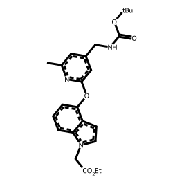 CCOC(=O)Cn1ccc2c(Oc3cc(CNC(=O)OC(C)(C)C)cc(C)n3)cccc21